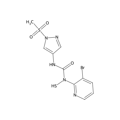 CS(=O)(=O)n1cc(NC(=O)N(S)c2ncccc2Br)cn1